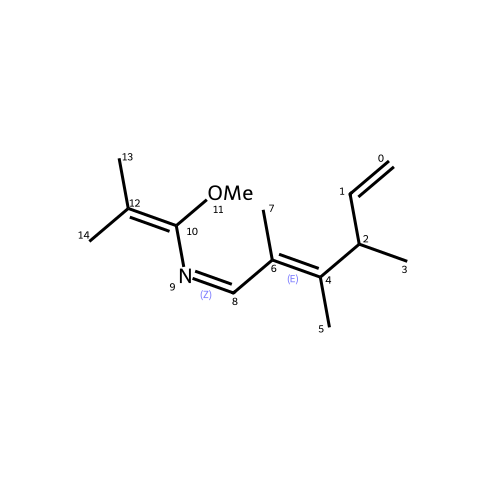 C=CC(C)/C(C)=C(C)/C=N\C(OC)=C(C)C